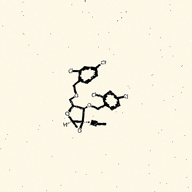 CC#C[C@]12O[C@H]1OC(COCc1ccc(Cl)cc1Cl)[C@H]2OCc1ccc(Cl)cc1Cl